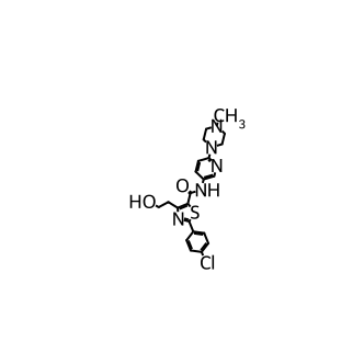 CN1CCN(c2ccc(NC(=O)c3sc(-c4ccc(Cl)cc4)nc3CCO)cn2)CC1